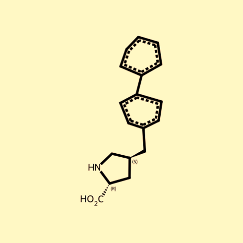 O=C(O)[C@H]1C[C@H](Cc2ccc(-c3ccccc3)cc2)CN1